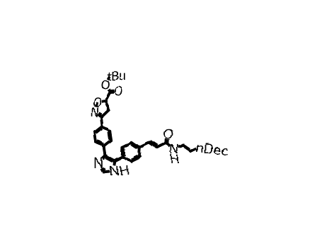 CCCCCCCCCCCCNC(=O)C=Cc1ccc(-c2[nH]cnc2-c2ccc(C3=NOC(C(=O)OC(C)(C)C)C3)cc2)cc1